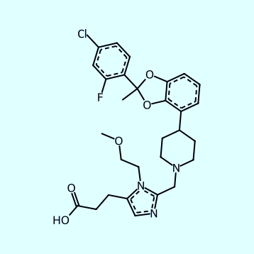 COCCn1c(CCC(=O)O)cnc1CN1CCC(c2cccc3c2OC(C)(c2ccc(Cl)cc2F)O3)CC1